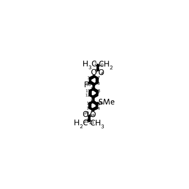 C=C(C)C(=O)Oc1ccc(-c2ccc(-c3ccc(OC(=O)C(=C)C)cc3SC)cc2)c(F)c1